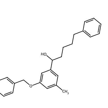 Cc1cc(OCc2ccccc2)cc(C(O)CCCCc2ccccc2)c1